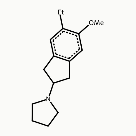 CCc1cc2c(cc1OC)CC(N1CCCC1)C2